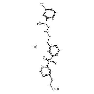 Cl.O=C(O)COc1cccc(S(=O)(=O)c2cccc(CCNC[C@@H](O)c3cccc(Cl)c3)c2)c1